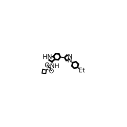 CCc1ccc(-n2cc(-c3ccc4[nH]cc(NS(=O)(=O)C5CCC5)c4c3)cn2)cc1